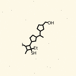 CCC1(S)C(C)C(I)C1C1CCC(C(C)C2CCC(CO)C2)C1